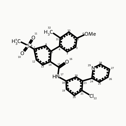 COc1ccc(-c2cc(S(C)(=O)=O)ccc2C(=O)Nc2ccc(Cl)c(-c3ccccn3)c2)c(C)c1